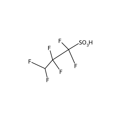 O=S(=O)(O)C(F)(F)C(F)(F)C(F)F